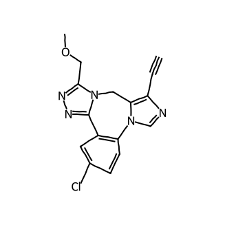 C#Cc1ncn2c1Cn1c(COC)nnc1-c1cc(Cl)ccc1-2